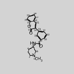 CN1CCC[C@@H](NC(=O)c2cccc(-c3cc4ccccc4oc3=O)c2)C1